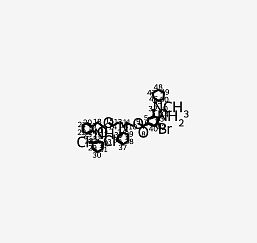 CCN(Cc1cc(C(=O)OCCN(CCOC(=O)Cc2ccccc2Nc2c(Cl)cccc2Cl)c2ccccc2)cc(Br)c1N)C1CCCCC1